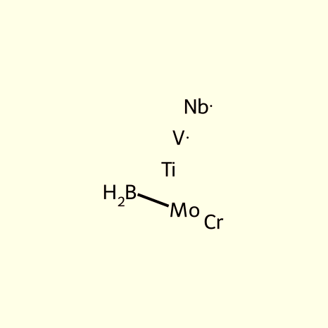 [BH2][Mo].[Cr].[Nb].[Ti].[V]